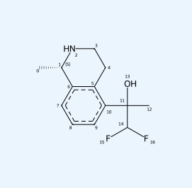 C[C@@H]1NCCc2c1cccc2C(C)(O)C(F)F